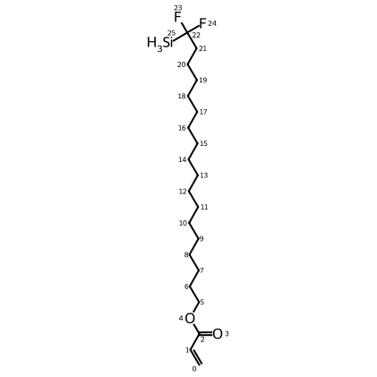 C=CC(=O)OCCCCCCCCCCCCCCCCCC(F)(F)[SiH3]